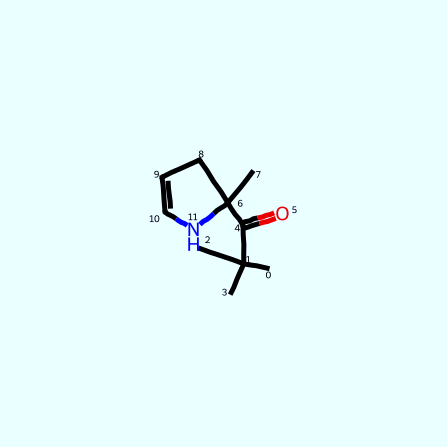 CC(C)(C)C(=O)C1(C)CC=CN1